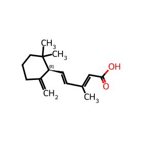 C=C1CCCC(C)(C)[C@H]1C=CC(C)=CC(=O)O